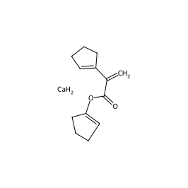 C=C(C(=O)OC1=CCCC1)C1=CCCC1.[CaH2]